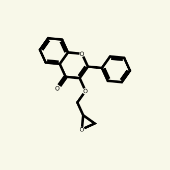 O=c1c(OCC2CO2)c(-c2ccccc2)oc2ccccc12